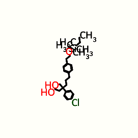 CCCC(C)(C)[Si](C)(C)OCCc1ccc(CCCC(CO)(CCO)c2ccc(Cl)cc2)cc1